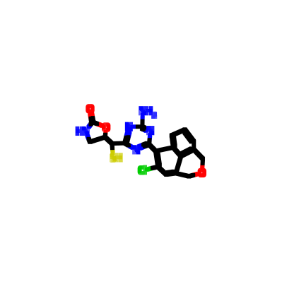 Nc1nc(-c2c(Cl)cc3c4c(cccc24)COC3)nc(C(S)C2CNC(=O)O2)n1